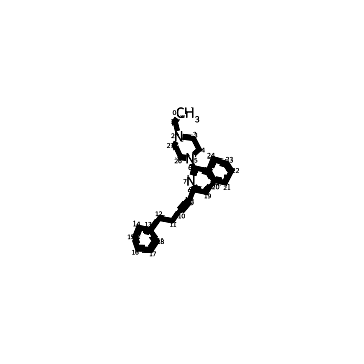 CCN1CCN(c2nc(C#CCCc3ccccc3)cc3ccccc23)CC1